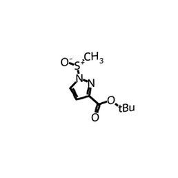 C[S+]([O-])n1ccc(C(=O)OC(C)(C)C)n1